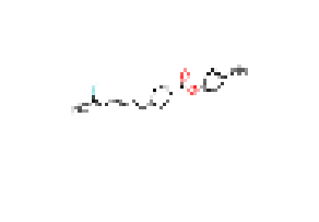 CCCc1ccc(OC(=O)[C@H]2CC[C@H](CCC=CC=C(F)C#N)CC2)cc1